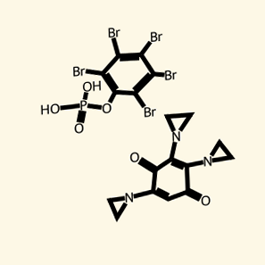 O=C1C=C(N2CC2)C(=O)C(N2CC2)=C1N1CC1.O=P(O)(O)Oc1c(Br)c(Br)c(Br)c(Br)c1Br